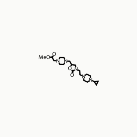 COC(=O)CN1CCN(CC2CN(CCN3CCN(C4CC4)CC3)C(=O)O2)CC1